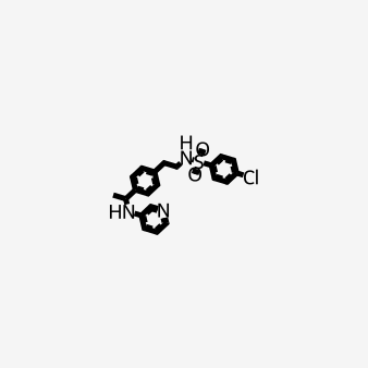 CC(Nc1cccnc1)c1ccc(CCNS(=O)(=O)c2ccc(Cl)cc2)cc1